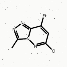 CCc1cc(Cl)nn2c(C)nnc12